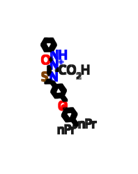 CCCC(CCC)c1ccc(OCc2ccc(-c3csc(C[N+](C)(CC(=O)O)C(=O)Nc4ccccc4)n3)cc2)cc1